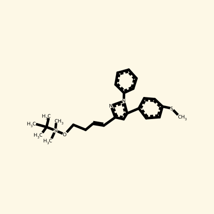 CSc1ccc(-c2cc(/C=C/CCO[Si](C)(C)C(C)(C)C)nn2-c2ccccc2)cc1